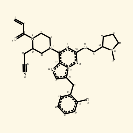 C=CC(=O)N1CCN(c2nc(OCC3CCCN3C)nn3c(Cc4ccccc4Cl)cnc23)CC1CC#N